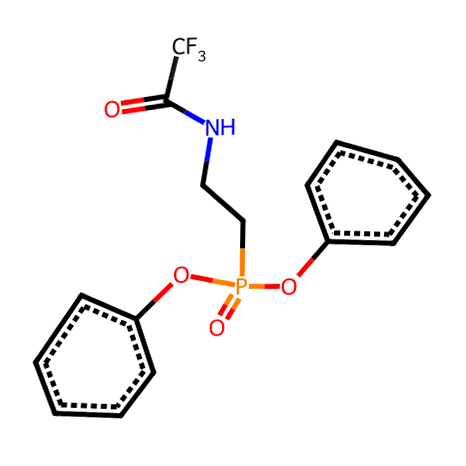 O=C(NCCP(=O)(Oc1ccccc1)Oc1ccccc1)C(F)(F)F